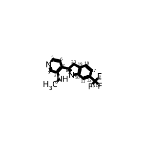 CNc1cnccc1C1=Nc2cc(C(F)(F)F)ccc2C1